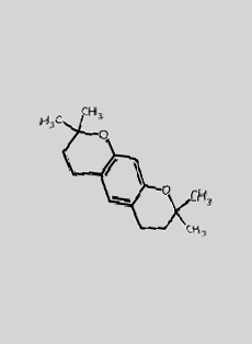 CC1(C)CCc2cc3c(cc2O1)OC(C)(C)CC3